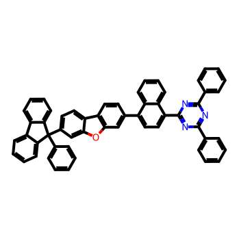 c1ccc(-c2nc(-c3ccccc3)nc(-c3ccc(-c4ccc5c(c4)oc4cc(C6(c7ccccc7)c7ccccc7-c7ccccc76)ccc45)c4ccccc34)n2)cc1